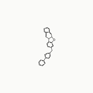 C1=c2ccccc2=CC2c3ccc(Cc4ccc(-c5ccccc5)cc4)cc3OC12